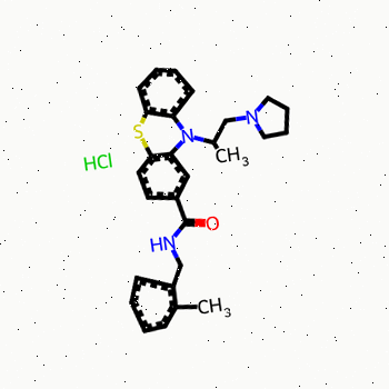 Cc1ccccc1CNC(=O)c1ccc2c(c1)N(C(C)CN1CCCC1)c1ccccc1S2.Cl